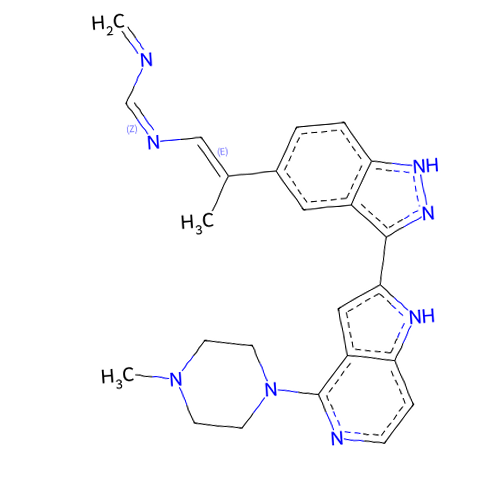 C=N/C=N\C=C(/C)c1ccc2[nH]nc(-c3cc4c(N5CCN(C)CC5)nccc4[nH]3)c2c1